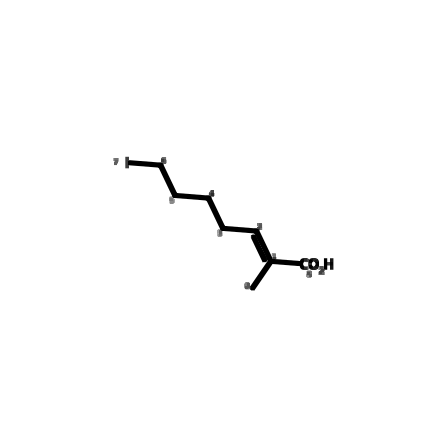 C/C(=C\CCCCI)C(=O)O